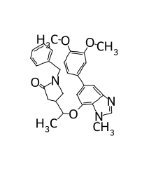 COc1ccc(-c2cc(OC(C)C3CC(=O)N(Cc4ccccc4)C3)c3c(c2)ncn3C)cc1OC